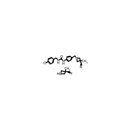 CC1(C#N)CN(Cc2ccc(NC(=O)NCc3ccc(Cl)cc3)cc2)C1.CC1(C#N)CNC1